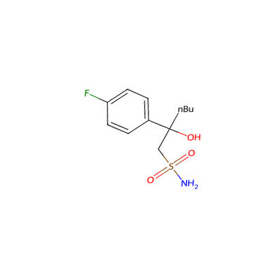 CCCCC(O)(CS(N)(=O)=O)c1ccc(F)cc1